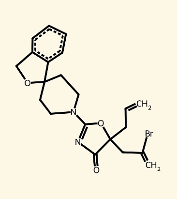 C=CCC1(CC(=C)Br)OC(N2CCC3(CC2)OCc2ccccc23)=NC1=O